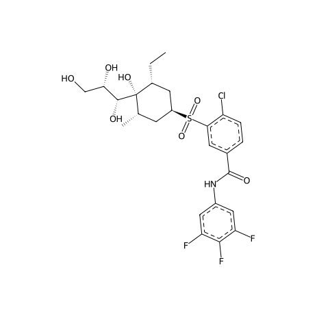 CC[C@@H]1C[C@@H](S(=O)(=O)c2cc(C(=O)Nc3cc(F)c(F)c(F)c3)ccc2Cl)C[C@H](C)[C@@]1(O)[C@H](O)[C@@H](O)CO